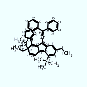 CCc1cc([Si](C)(C)C)c2c(c1)=[C]([Zr]=[C](c1ccccc1)c1ccccc1)C1=C(C3=CC=CC3)C(CC)([Si](C)(C)C)C=CC=21